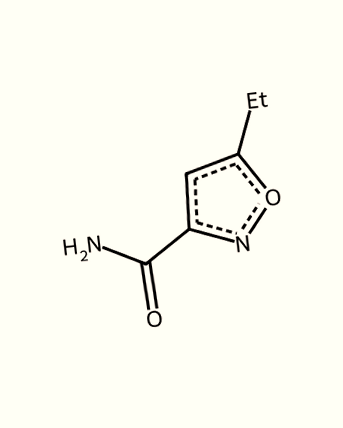 CCc1cc(C(N)=O)no1